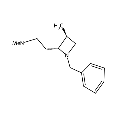 CNCC[C@@H]1[C@@H](C)CN1Cc1ccccc1